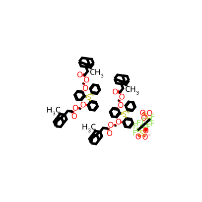 CC1C2CC3CC(C2)CC1(CC(=O)OCOc1ccccc1[S+](c1ccccc1)c1ccccc1OCOC(=O)CC12CC4CC(CC(C4)C1C)C2)C3.CC1C2CC3CC(C2)CC1(CC(=O)OCOc1ccccc1[S+](c1ccccc1)c1ccccc1OCOC(=O)CC12CC4CC(CC(C4)C1C)C2)C3.O=S(=O)([O-])C(F)(F)C(F)(F)C(F)(F)C(F)(F)S(=O)(=O)[O-]